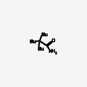 CCC(C)C(C(N)=O)(C(C)CC)C(C)CC